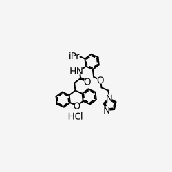 CC(C)c1cccc(COCCn2ccnc2)c1NC(=O)CC1c2ccccc2Oc2ccccc21.Cl